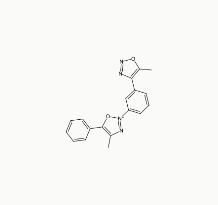 Cc1n[n+](-c2cccc(-c3nnoc3C)c2)oc1-c1ccccc1